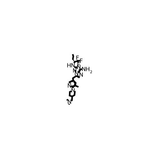 CCC[C@H](Nc1nc(N)c2ncc(Cc3cnc(N4CCC(CN(C)C)CC4)c(C)c3)n2n1)C(F)(F)F